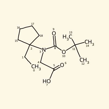 CCC1(N(CC(=O)O)C(=O)OC(C)(C)C)CCCC1